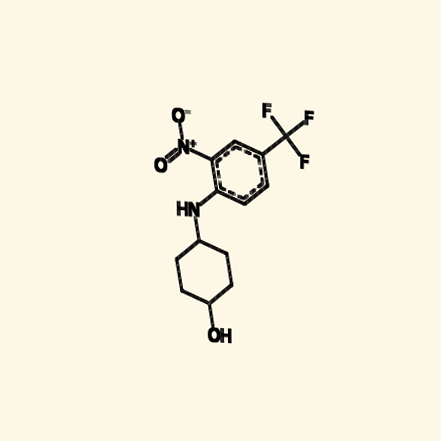 O=[N+]([O-])c1cc(C(F)(F)F)ccc1NC1CCC(O)CC1